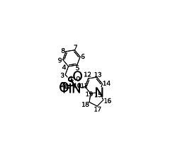 O=S(=O)(Cc1ccccc1)NC1=CC=CN2CCCC12